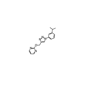 CC(C)c1cccc(-n2cc(COc3ncccn3)nn2)c1